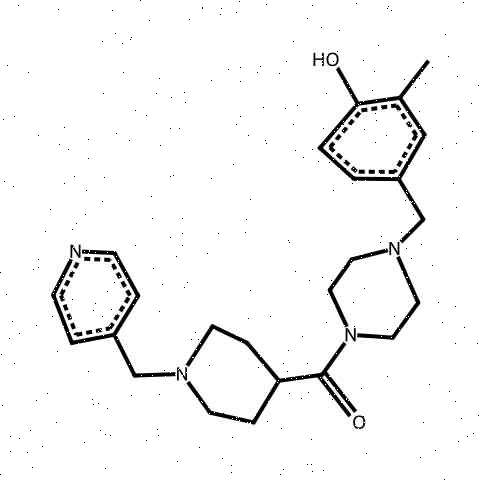 Cc1cc(CN2CCN(C(=O)C3CCN(Cc4ccncc4)CC3)CC2)ccc1O